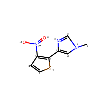 Cn1cnc(-c2sccc2[N+](=O)[O-])c1